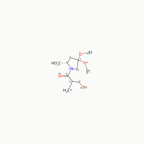 CCOC1(OCC)C[C@@H](C(=O)O)N(C(=O)C(C)CS)C1